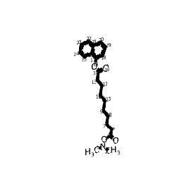 CN(C)OC(=O)CCCCCCCCC(=O)Oc1cccc2ccccc12